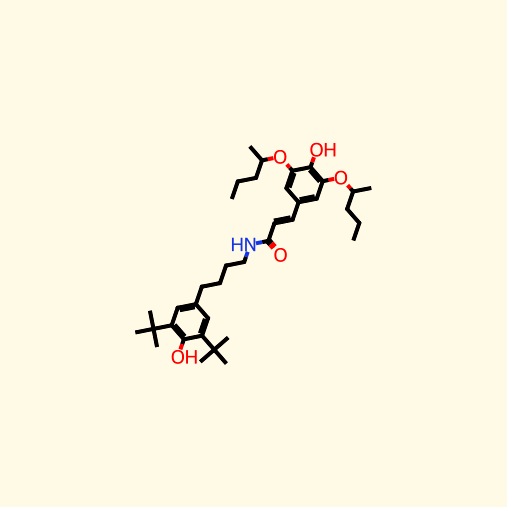 CCCC(C)Oc1cc(C=CC(=O)NCCCCc2cc(C(C)(C)C)c(O)c(C(C)(C)C)c2)cc(OC(C)CCC)c1O